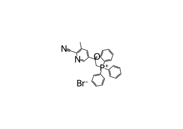 Cc1cc(C(=O)C[P+](c2ccccc2)(c2ccccc2)c2ccccc2)cnc1C#N.[Br-]